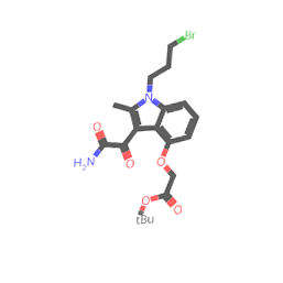 Cc1c(C(=O)C(N)=O)c2c(OCC(=O)OC(C)(C)C)cccc2n1CCCBr